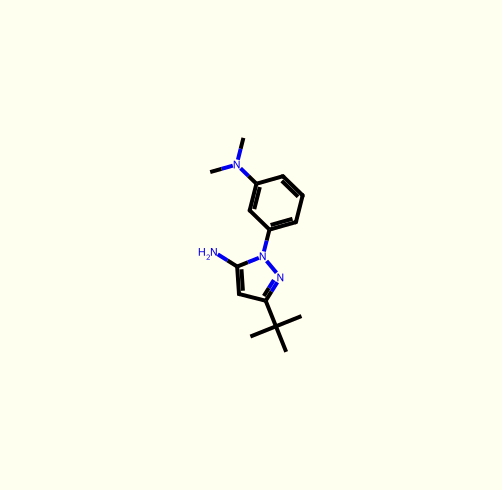 CN(C)c1cccc(-n2nc(C(C)(C)C)cc2N)c1